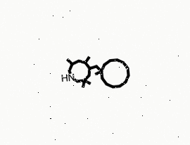 CC1CNCC(C)(C)CC(CC2(C)CCCCCCCCCCC2)C(C)C1